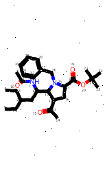 CCC(CC)CC(NC(C)=O)C1C(C(C)=O)CC(C(=O)OC(C)(C)C)N1Cc1ccccc1